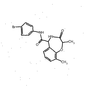 Cc1cccc2c1OC(C)C(=O)NC2C(=O)Nc1ccc(Br)cc1